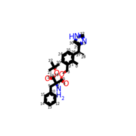 Cc1c(COC(=O)C(N)(Cc2ccccc2)C(=O)OC(C)(C)C)cccc1[C@H](C)c1c[nH]cn1